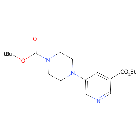 CCOC(=O)c1cncc(N2CCN(C(=O)OC(C)(C)C)CC2)c1